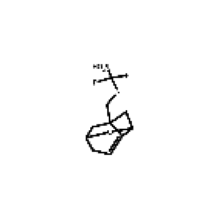 O=S(=O)(O)C(F)(F)NCC12CC3CC=C1C(C3)C2